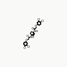 O=C(COc1ccc(Cl)c(Cl)c1)NC12CCC(NC(=O)COc3ccc(Cl)c(Cl)c3)(CC1)C2